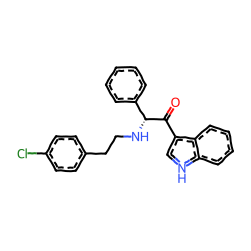 O=C(c1c[nH]c2ccccc12)[C@H](NCCc1ccc(Cl)cc1)c1ccccc1